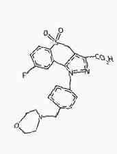 O=C(O)c1nn(-c2ccc(CN3CCOCC3)cc2)c2c1CS(=O)(=O)c1ccc(F)cc1-2